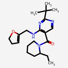 CCC1CCCCN1C(=O)c1cnc(C(C)(C)C)nc1NCC1=CCCO1